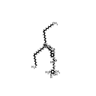 CCCCCCCC/C=C\CCCCCCCCOP(=O)(NCC1=CC(c2cc3ccc(OCC(=O)NCCOCC[C@H]4CC(C)[C@@H](O)C(O)[C@H]4C)cc3oc2=O)N=N1)OCCCCCCCC/C=C\CCCCCCCC